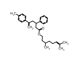 C=C(CC(CC(=O)OCCC(C)CCC=C(C)C)c1ccccc1)c1ccc(C)cc1